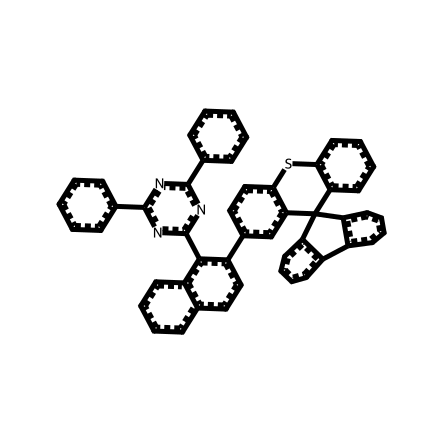 c1ccc(-c2nc(-c3ccccc3)nc(-c3c(-c4ccc5c(c4)C4(c6ccccc6S5)c5ccccc5-c5ccccc54)ccc4ccccc34)n2)cc1